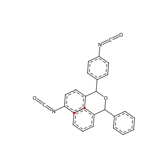 O=C=Nc1ccc(C(OC(c2ccccc2)c2ccccc2)c2ccc(N=C=O)cc2)cc1